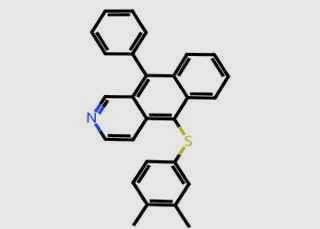 Cc1ccc(Sc2c3ccccc3c(-c3ccccc3)c3cnccc23)cc1C